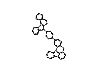 c1ccc2c(c1)ccc1c2c2ccccc2n1-c1ccc(-c2ccc3c(c2)-n2c4ccccc4c4cccc(c42)O3)cc1